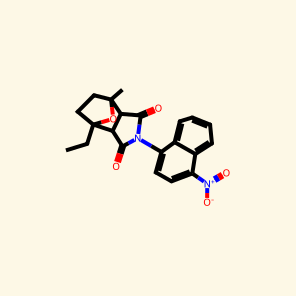 CCC12CCC(C)(O1)C1C(=O)N(c3ccc([N+](=O)[O-])c4ccccc34)C(=O)C12